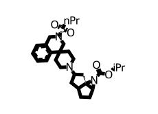 CCCS(=O)(=O)N1Cc2ccccc2C2(CCN(C3CC4CCC5N(C(=O)OC(C)C)[C@]45C3)CC2)C1